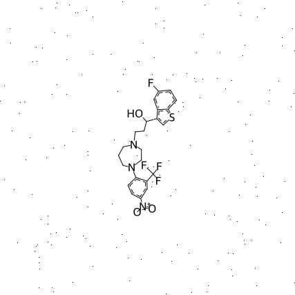 O=[N+]([O-])c1ccc(N2CCCN(CCC(O)c3csc4ccc(F)cc34)CC2)c(C(F)(F)F)c1